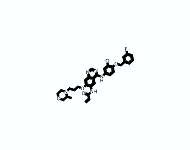 C=CC(=O)Nc1cc2c(Nc3ccc(OCc4cccc(F)c4)c(Cl)c3)ncnc2cc1OCCCN1CCOCC1C